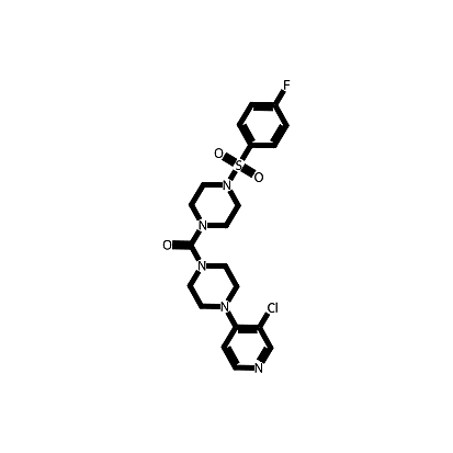 O=C(N1CCN(c2ccncc2Cl)CC1)N1CCN(S(=O)(=O)c2ccc(F)cc2)CC1